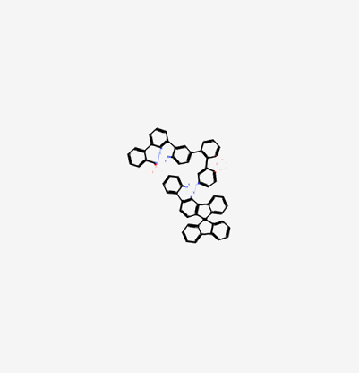 O=c1c2ccccc2c2cccc3c4cc(-c5cccc6oc7ccc(-n8c9ccccc9c9ccc%10c(c98)-c8ccccc8C%108c9ccccc9-c9ccccc98)cc7c56)ccc4n1c23